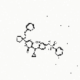 O=c1oc(C2(CCc3ccccc3)CCCC2)cc(O)c1C(c1ccc(NS(=O)(=O)c2ccccc2)cc1)C1CC1